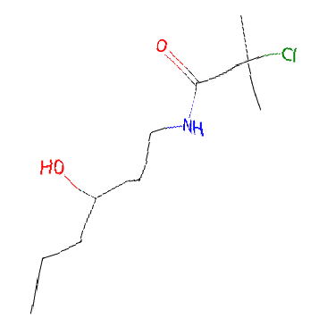 CCCC(O)CCNC(=O)C(C)(C)Cl